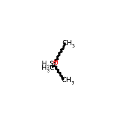 CCCCCCCCCCCO[SiH2]C(C)CCCCCCCCC